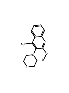 CCOc1nc2ccccc2c([N+](=O)[O-])c1N1CCOCC1